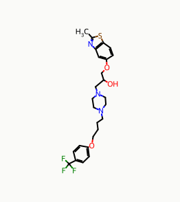 Cc1nc2cc(OCC(O)CN3CCN(CCCCOc4ccc(C(F)(F)F)cc4)CC3)ccc2s1